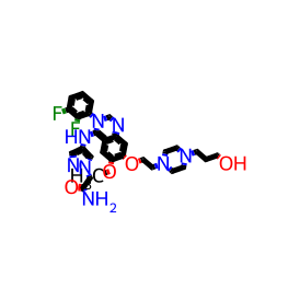 COc1cc2c(cc1OCCN1CCN(CCCO)CC1)=NCN(c1cccc(F)c1F)C=2Nc1cnn(CC(N)=O)c1